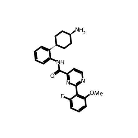 COc1cccc(F)c1-c1nccc(C(=O)Nc2ccccc2[C@H]2CC[C@H](N)CC2)n1